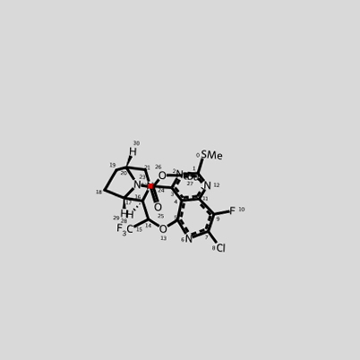 CSc1nc2c3c(nc(Cl)c(F)c3n1)OC(C(F)(F)F)[C@H]1[C@@H]3CC[C@H](CN21)N3C(=O)OC(C)(C)C